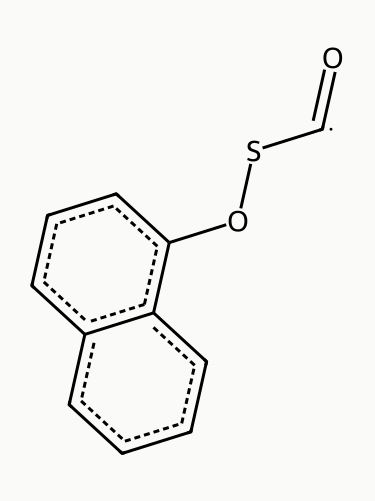 O=[C]SOc1cccc2ccccc12